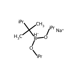 CC(C)O[BH-](OC(C)C)C(C)(C)C(C)C.[Na+]